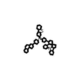 c1ccc(-c2ccccc2-n2c3ccccc3c3ccccc32)c(-c2ccc(N(c3ccc(-c4ccc5c(ccc6ccccc65)c4)cc3)c3ccc4c(c3)sc3ccccc34)cc2)c1